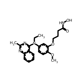 CCN(c1ccc(OC)c(OCCCC(=O)NO)c1)c1nc(C)nc2ccccc12